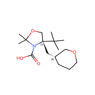 CC1(C)OC[C@](C[C@H]2CCCOC2)(C(C)(C)C)N1C(=O)O